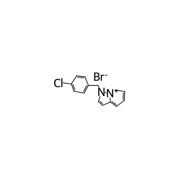 Clc1ccc(Cn2ccc3cccc[n+]32)cc1.[Br-]